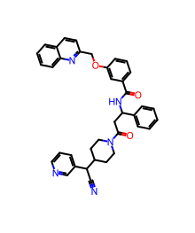 N#CC(c1cccnc1)C1CCN(C(=O)CC(NC(=O)c2cccc(OCc3ccc4ccccc4n3)c2)c2ccccc2)CC1